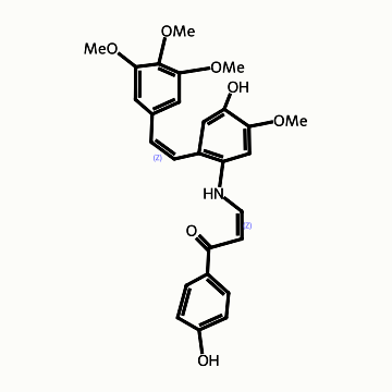 COc1cc(N/C=C\C(=O)c2ccc(O)cc2)c(/C=C\c2cc(OC)c(OC)c(OC)c2)cc1O